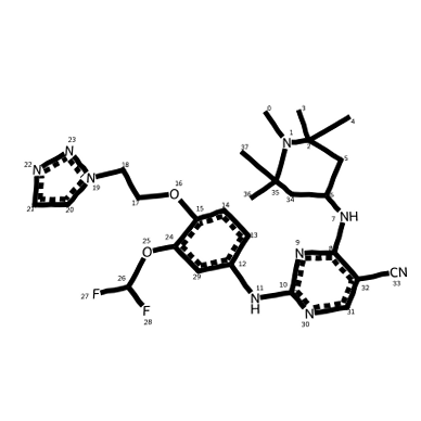 CN1C(C)(C)CC(Nc2nc(Nc3ccc(OCCn4ccnn4)c(OC(F)F)c3)ncc2C#N)CC1(C)C